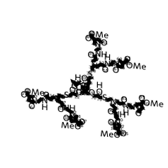 COC(=O)C1CC(=O)N(CCNC(=O)CCN(CCSCC(O)COCC(COCC(O)CSCCN(CCC(=O)NCCN2CC(C(=O)OC)CC2=O)CCC(=O)NCCN2CC(C(=O)OC)CC2=O)(COCC(O)CSCCN(CCC(=O)NCCN2CC(C(=O)OC)CC2=O)CCC(=O)NCCN2CC(C(=O)OC)CC2=O)COCC2CO2)CCC(=O)NCCN2CC(C(=O)OC)CC2=O)C1